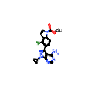 CC(C)(C)OC(=O)N1CCc2c1ccc(-c1nn(C3CC3)c3ncnc(N)c13)c2Cl